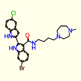 CN1CCCN(CCCCNC(=O)c2c(-c3cc4cc(Cl)ccc4[nH]3)[nH]c3cc(Br)ccc23)CC1